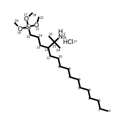 CCCCCCCCCCCCC(CCC[Si](OC)(OC)OC)C(C)(C)N.Cl